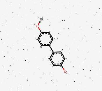 CCOc1ccc(-c2ccc([O])cc2)cc1